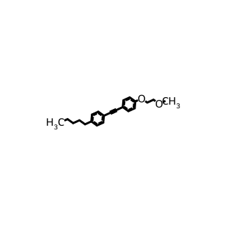 CCCCCc1ccc(C#Cc2ccc(OCCOC)cc2)cc1